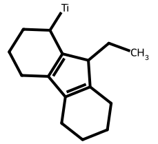 CCC1C2=C(CCCC2)C2=C1[CH]([Ti])CCC2